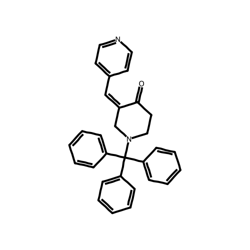 O=C1CCN(C(c2ccccc2)(c2ccccc2)c2ccccc2)C/C1=C/c1ccncc1